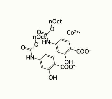 CCCCCCCCOC(=O)Nc1ccc(C(=O)[O-])c(O)c1.CCCCCCCCOC(=O)Nc1ccc(C(=O)[O-])c(O)c1.[Co+2]